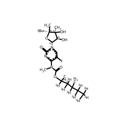 [2H]C([2H])([2H])C([2H])([2H])C([2H])(C)C([2H])([2H])C([2H])(C)OC(=O)N(C)c1nc(=O)n([C@@H]2O[C@](C)(C(C)(C)C)[C@@](C)(O)[C@H]2O)cc1F